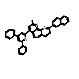 Cc1cc(-c2cc(-c3ccccc3)cc(-c3ccccc3)n2)c2ccc3ccc(-c4ccc5ccccc5c4)nc3c2n1